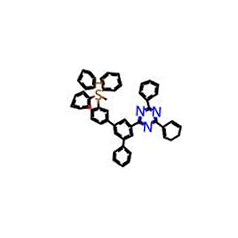 C[SH](c1ccccc1)(c1ccccc1)(c1ccccc1)c1cccc(-c2cc(-c3ccccc3)cc(-c3nc(C4=CCCC=C4)nc(-c4ccccc4)n3)c2)c1